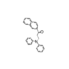 O=C(CCN(c1ccccc1)c1ccccc1)c1ccc2ccccc2c1